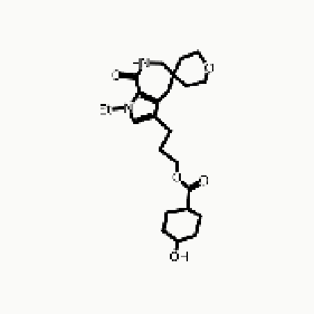 CCn1cc(CCCOC(=O)C2CCC(O)CC2)c2c1C(=O)NCC1(CCOCC1)C2